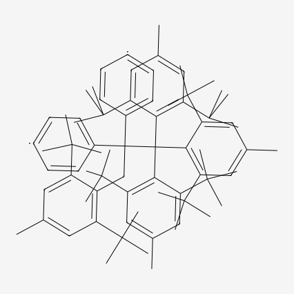 Cc1cc(C(C)(C)C)c(CC(c2cc[c]cc2)(c2cc[c]cc2)C(c2c(C(C)(C)C)cc(C)cc2C(C)(C)C)(c2c(C(C)(C)C)cc(C)cc2C(C)(C)C)c2c(C(C)(C)C)cc(C)cc2C(C)(C)C)c(C(C)(C)C)c1